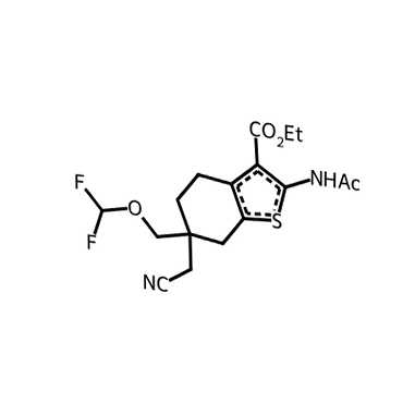 CCOC(=O)c1c(NC(C)=O)sc2c1CCC(CC#N)(COC(F)F)C2